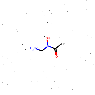 CC(C)C(=O)N(O)CN